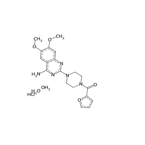 COc1cc2nc(N3CCN(C(=O)c4ccco4)CC3)nc(N)c2cc1OC.Cl.O.O